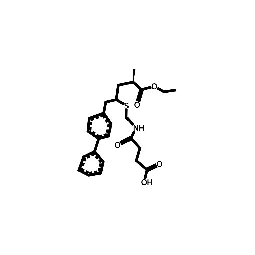 CCOC(=O)[C@H](C)CC(Cc1ccc(-c2ccccc2)cc1)SCNC(=O)CCC(=O)O